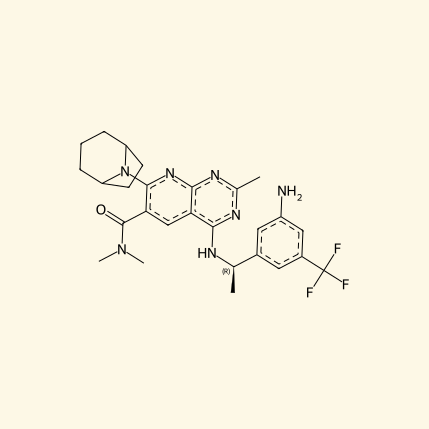 Cc1nc(N[C@H](C)c2cc(N)cc(C(F)(F)F)c2)c2cc(C(=O)N(C)C)c(N3C4CCCC3CC4)nc2n1